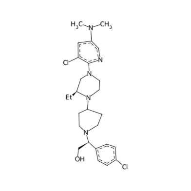 CC[C@H]1CN(c2ncc(N(C)C)cc2Cl)CCN1C1CCN([C@H](CO)c2ccc(Cl)cc2)CC1